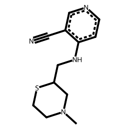 CN1CCSC(CNc2ccncc2C#N)C1